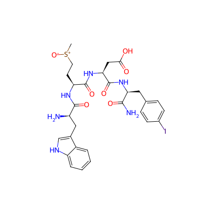 C[S+]([O-])CC[C@H](NC(=O)[C@H](N)Cc1c[nH]c2ccccc12)C(=O)N[C@@H](CC(=O)O)C(=O)N[C@@H](Cc1ccc(I)cc1)C(N)=O